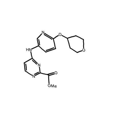 COC(=O)c1nccc(Nc2ccc(OC3CCOCC3)nc2)n1